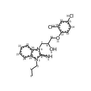 CCCn1c(=N)n(CC(O)COc2ccc(Cl)cc2Cl)c2ccccc21